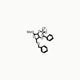 COC1OC(COCc2ccccc2)C(OCc2ccccc2)C1OS(=O)(=O)C(F)(F)F